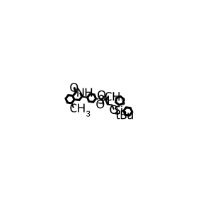 Cc1cccc2c(=O)[nH]c(-c3ccc(S(=O)(=O)N(C)CCO[Si](c4ccccc4)(c4ccccc4)C(C)(C)C)cc3)cc12